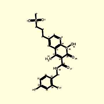 CS(=O)(=O)CCCc1cnc2c(c1)c(N)c(C(=O)NCc1ccc(F)cc1F)c(=O)n2O